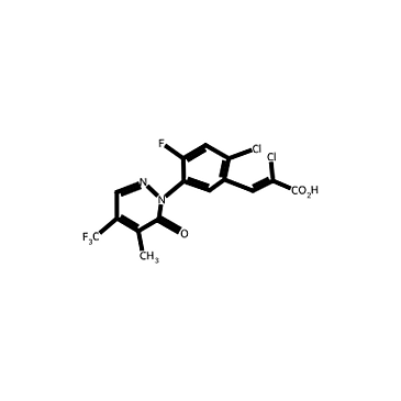 Cc1c(C(F)(F)F)cnn(-c2cc(/C=C(\Cl)C(=O)O)c(Cl)cc2F)c1=O